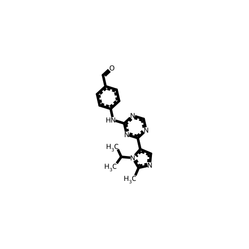 Cc1ncc(-c2ncnc(Nc3ccc(C=O)cc3)n2)n1C(C)C